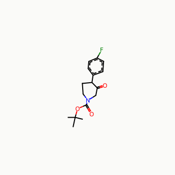 CC(C)(C)OC(=O)N1CCC(c2ccc(F)cc2)C(=O)C1